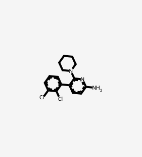 Nc1ccc(-c2cccc(Cl)c2Cl)c(N2CCCCC2)n1